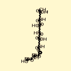 CC(=O)N(O)CCCCCNC(=O)CCC(=O)N(O)CCCCCNC(=O)CCC(=O)N(O)CCCCCNC(=O)COc1cccc(C(=O)NCC(=O)NCC(=O)NCC(=O)O)c1